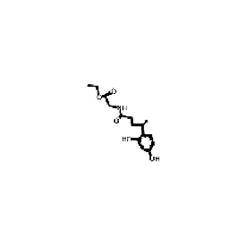 CCOC(=O)CNC(=O)CCC(C)c1ccc(O)cc1O